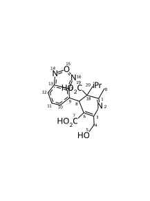 CC1=NC(CO)=C(C(=O)O)C(c2cccc3nonc23)C1(C(=O)O)C(C)C